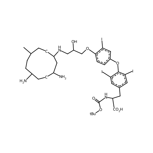 CC1CCC(N)CCC(N)CC(NCC(O)COc2ccc(Oc3c(I)cc(CC(NC(=O)OC(C)(C)C)C(=O)O)cc3I)cc2I)CC1